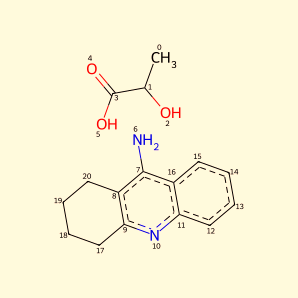 CC(O)C(=O)O.Nc1c2c(nc3ccccc13)CCCC2